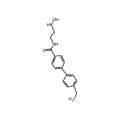 CCc1ccc(-c2ccc(C(=O)NCCNO)cc2)cc1